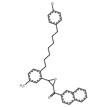 Cc1ccc(CCCCCCCc2ccc(Cl)cc2)c(C2OC2C(=O)c2ccc3ccccc3c2)c1